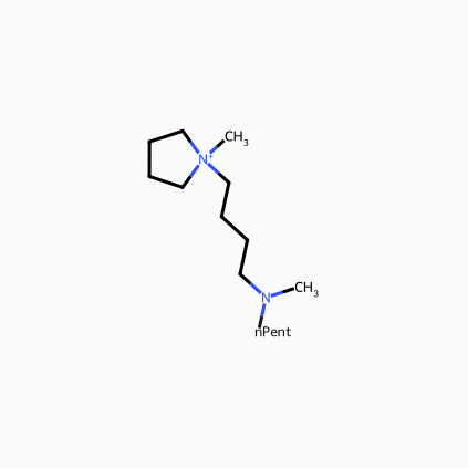 CCCCCN(C)CCCC[N+]1(C)CCCC1